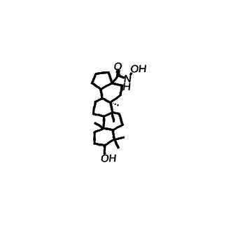 CC1(C)C(O)CCC2(C)C1CCC1(C)C2CCC2C3CCCC3(C(=O)NO)CC[C@]21C